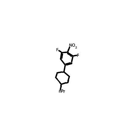 CCCC1CCC(c2cc(F)c([N+](=O)[O-])c(F)c2)CC1